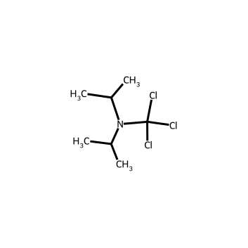 CC(C)N(C(C)C)C(Cl)(Cl)Cl